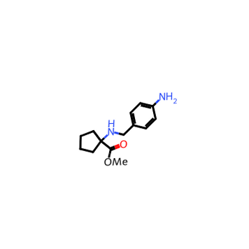 COC(=O)C1(NCc2ccc(N)cc2)CCCC1